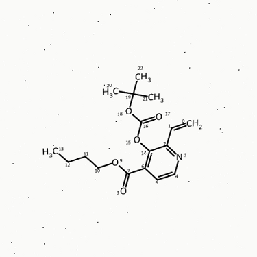 C=Cc1nccc(C(=O)OCCCC)c1OC(=O)OC(C)(C)C